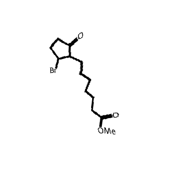 COC(=O)CCCCCCC1C(=O)CCC1Br